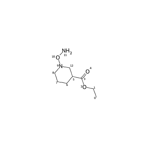 CCOC(=O)C1CCCN(ON)C1